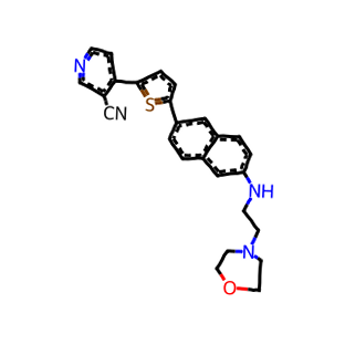 N#Cc1cnccc1-c1ccc(-c2ccc3cc(NCCN4CCOCC4)ccc3c2)s1